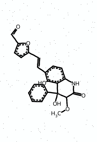 COC1C(=O)Nc2ccc(/C=C/c3ccc(C=O)o3)c(O)c2C1(O)c1ccccc1